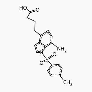 Cc1ccc(S(=O)(=O)n2ccc3c(CCCC(=O)O)ccc(N)c32)cc1